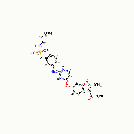 CNC(=O)c1c(C)oc2cc(Oc3ccnc(Nc4cccc(CS(=O)(=O)NCCOC)c4)n3)ccc12